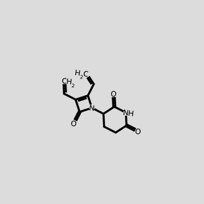 C=CC1=C(C=C)N(C2CCC(=O)NC2=O)C1=O